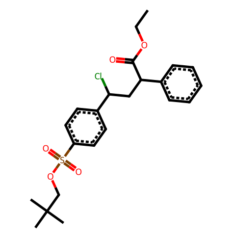 CCOC(=O)C(CC(Cl)c1ccc(S(=O)(=O)OCC(C)(C)C)cc1)c1ccccc1